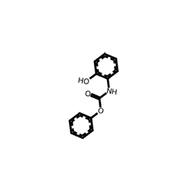 O=C(Nc1cc[c]cc1O)Oc1ccccc1